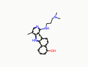 Cc1cnc(NCCCN(C)C)c2c1[nH]c1c3cccc(O)c3ccc12